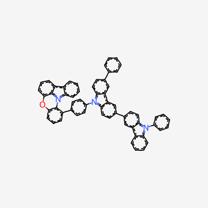 c1ccc(-c2ccc3c(c2)c2cc(-c4ccc5c(c4)c4ccccc4n5-c4ccccc4)ccc2n3-c2ccc(-c3cccc4c3-n3c5ccccc5c5cccc(c53)O4)cc2)cc1